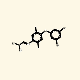 CCN(C=Nc1cc(C)c(Oc2cc(Br)cc(Br)c2)cc1C)CC